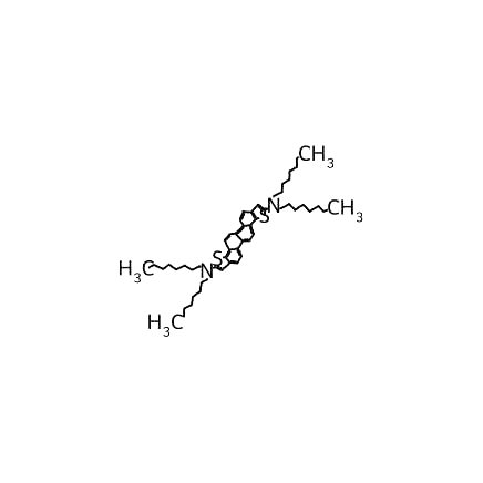 CCCCCCCCN(CCCCCCCC)c1cc2ccc3c4ccc5c(ccc6cc(N(CCCCCCCC)CCCCCCCC)sc65)c4ccc3c2s1